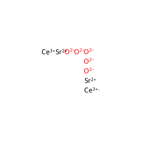 [Ce+3].[Ce+3].[O-2].[O-2].[O-2].[O-2].[O-2].[Sr+2].[Sr+2]